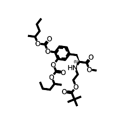 CCCC(C)OC(=O)Oc1ccc(C[C@H](NCCOC(=O)C(C)(C)C)C(=O)OC)cc1OC(=O)OC(C)CCC